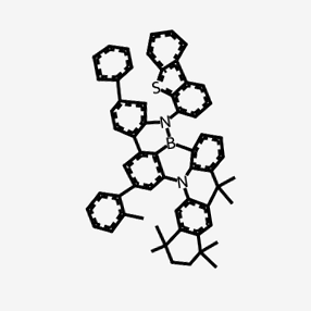 Cc1ccccc1-c1cc2c3c(c1)N1c4cc5c(cc4C(C)(C)c4cccc(c41)B3N(c1cccc3c1sc1ccccc13)c1cc(-c3ccccc3)ccc1-2)C(C)(C)CCC5(C)C